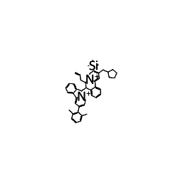 C=CCC1C(C2c3ccccc3-c3cc(-c4c(C)cccc4C)cc[n+]32)c2ccccc2-c2cc(CC3CCCC3)c([Si](C)(C)C)c[n+]21